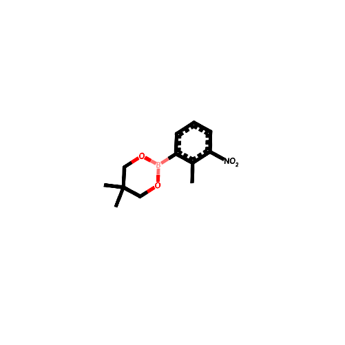 Cc1c(B2OCC(C)(C)CO2)cccc1[N+](=O)[O-]